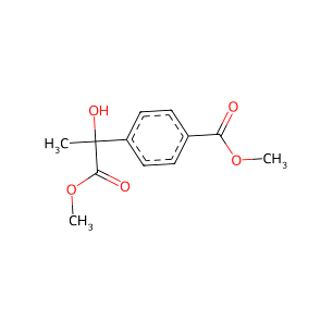 COC(=O)c1ccc(C(C)(O)C(=O)OC)cc1